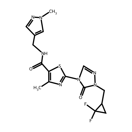 Cc1nc(-n2cnn(CC3CC3(F)F)c2=O)sc1C(=O)NCc1cnn(C)c1